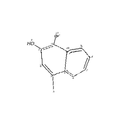 Oc1cc(I)c2ccccc2c1Br